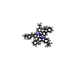 CC(C)(C)c1ccc(N2B3c4cc5c(cc4-n4c6ccc(C(C)(C)C)cc6c6c7sc8ccccc8c7c(c3c64)-c3cc4c(cc32)sc2cc(C(C)(C)C)ccc24)-c2ccccc2C5(C)C)cc1